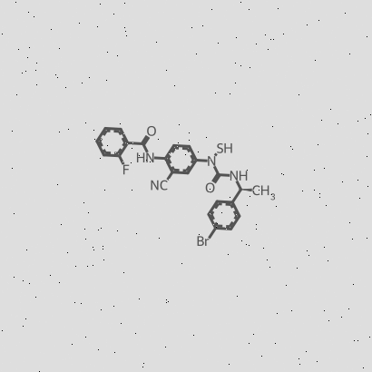 C[C@H](NC(=O)N(S)c1ccc(NC(=O)c2ccccc2F)c(C#N)c1)c1ccc(Br)cc1